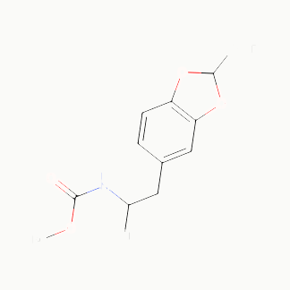 CCOC(=O)C1Oc2ccc(CC(C)NC(=O)OC(C)(C)C)cc2O1